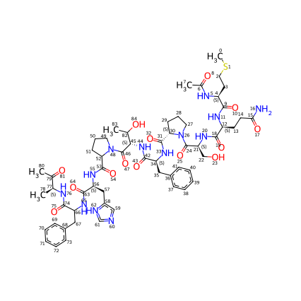 CSCC[C@H](NC(C)=O)C(=O)N[C@@H](CCC(N)=O)C(=O)N[C@@H](CO)C(=O)N1CCC[C@H]1C(=O)N[C@@H](Cc1ccccc1)C(=O)N[C@H](C(=O)N1CCCC1C(=O)N[C@@H](Cc1cnc[nH]1)C(=O)NC(Cc1ccccc1)C(=O)N[C@@H](C)C(C)=O)C(C)O